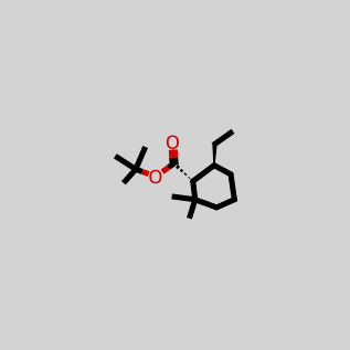 CC[C@H]1CCCC(C)(C)[C@@H]1C(=O)OC(C)(C)C